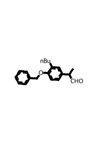 CCCCc1cc(C(C)C=O)ccc1OCc1ccccc1